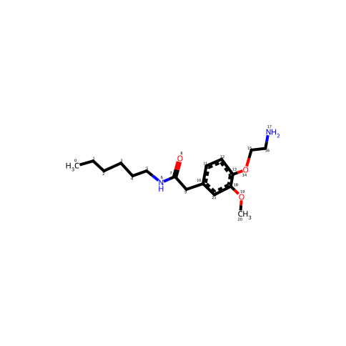 CCCCCCNC(=O)Cc1ccc(OCCN)c(OC)c1